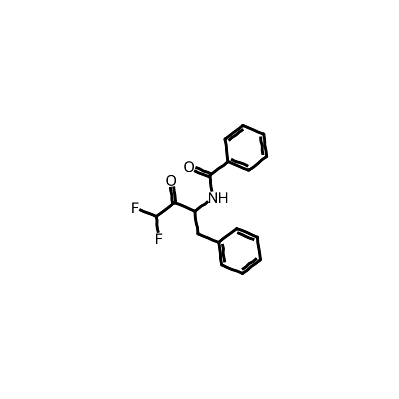 O=C(NC(Cc1ccccc1)C(=O)C(F)F)c1ccccc1